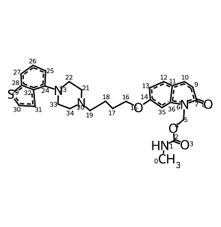 CNC(=O)OCn1c(=O)ccc2ccc(OCCCCN3CCN(c4cccc5sccc45)CC3)cc21